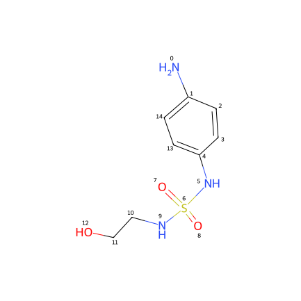 Nc1ccc(NS(=O)(=O)NCCO)cc1